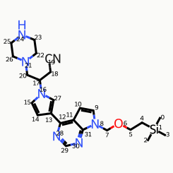 C[Si](C)(C)CCOCn1ccc2c(-c3ccn(C(CC#N)CN4CCNCC4)c3)ncnc21